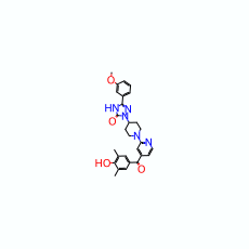 COc1cccc(-c2nn(C3CCN(c4cc(C(=O)c5cc(C)c(O)c(C)c5)ccn4)CC3)c(=O)[nH]2)c1